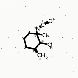 C=C1CCCC(Cl)(N=C=O)C1Cl